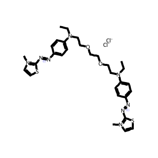 CCN(CCOCCOCCN(CC)c1ccc(/N=N/c2scc[n+]2C)cc1)c1ccc(/N=N/c2scc[n+]2C)cc1.[Cl-].[Cl-]